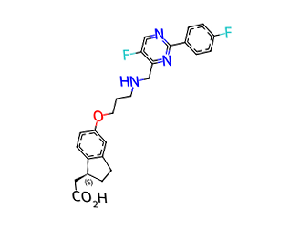 O=C(O)C[C@@H]1CCc2cc(OCCCNCc3nc(-c4ccc(F)cc4)ncc3F)ccc21